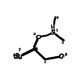 C[SiH](C)OC(C[O])C(C)(C)C